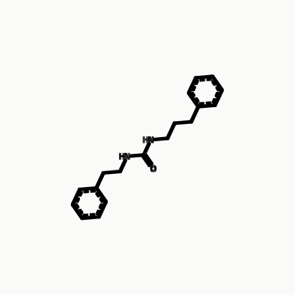 O=C(NCCCc1ccccc1)NCCc1ccccc1